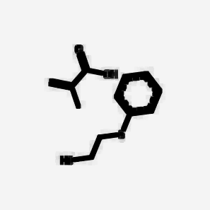 C=C(C)C(=O)O.SCCSc1ccccc1